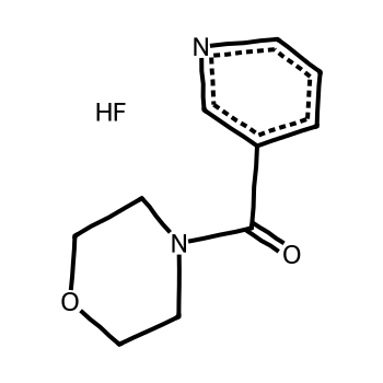 F.O=C(c1cccnc1)N1CCOCC1